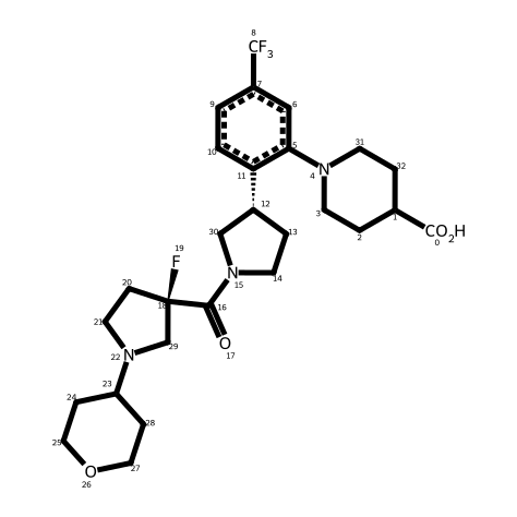 O=C(O)C1CCN(c2cc(C(F)(F)F)ccc2[C@@H]2CCN(C(=O)[C@@]3(F)CCN(C4CCOCC4)C3)C2)CC1